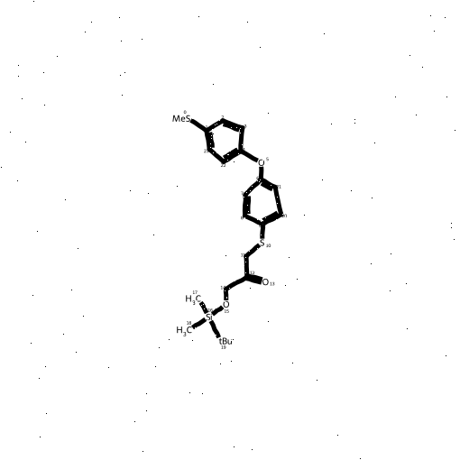 CSc1ccc(Oc2ccc(SCC(=O)CO[Si](C)(C)C(C)(C)C)cc2)cc1